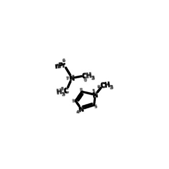 Cn1ccnc1.[CH2]CCN(C)C